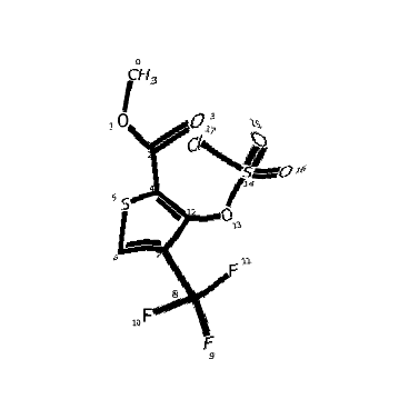 COC(=O)c1scc(C(F)(F)F)c1OS(=O)(=O)Cl